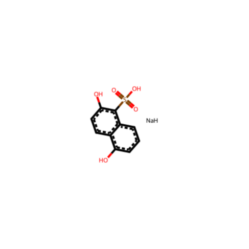 O=S(=O)(O)c1c(O)ccc2c(O)cccc12.[NaH]